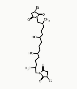 CCN1CC(=O)N(CC(C)CCCC(O)CCCC(O)CCCC(C)CN2C(=O)CN(CC)C2=O)C1=O